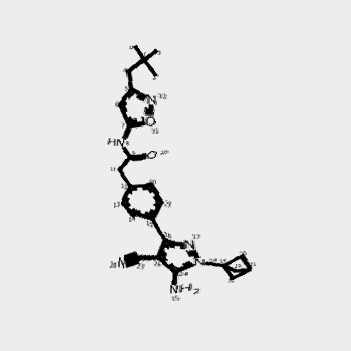 CC(C)(C)Cc1cc(NC(=O)Cc2ccc(-c3nn(C45CC(C4)C5)c(N)c3C#N)cc2)on1